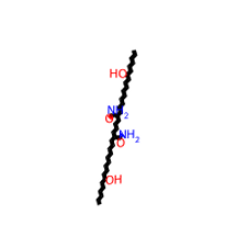 CCCCCCC(O)CCCCCCCCCC(CCCCC(CCCCCCCCCC(O)CCCCCC)C(N)=O)C(N)=O